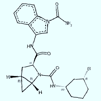 CC[C@@H]1CCC[C@H](NC(=O)N2[C@@H]3C[C@@H]3C[C@H]2C(=O)Nc2cn(C(N)=O)c3ccccc23)C1